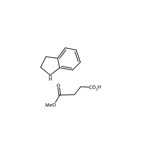 COC(=O)CCC(=O)O.c1ccc2c(c1)CCN2